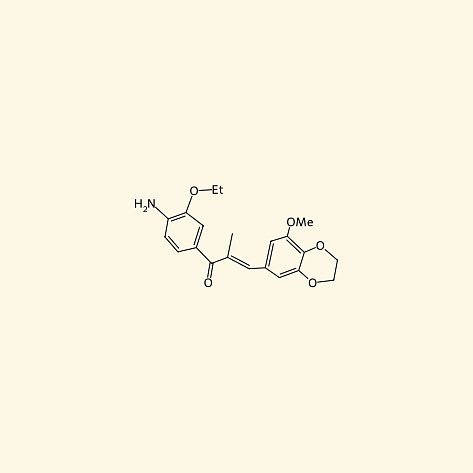 CCOc1cc(C(=O)/C(C)=C/c2cc(OC)c3c(c2)OCCO3)ccc1N